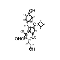 CCc1cc(OC2CCC2)n(Cc2ccc(O)cn2)c1C(=O)N(C=O)CCCO